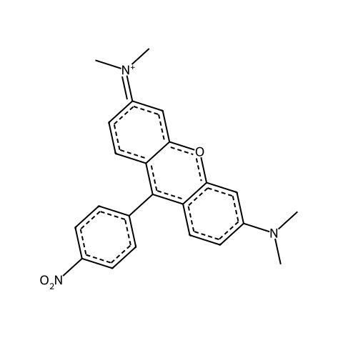 CN(C)c1ccc2c(-c3ccc([N+](=O)[O-])cc3)c3ccc(=[N+](C)C)cc-3oc2c1